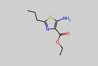 CCCc1nc(C(=O)OCC)c(N)s1